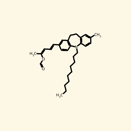 CCCCCCCCCCN1c2ccc(C)cc2CCc2cc(/C=C/C=C(/C)OC=O)ccc21